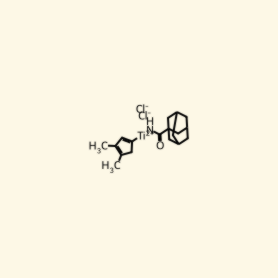 CC1=C(C)C[C]([Ti+2][NH]C(=O)C23CC4CC(CC(C4)C2)C3)=C1.[Cl-].[Cl-]